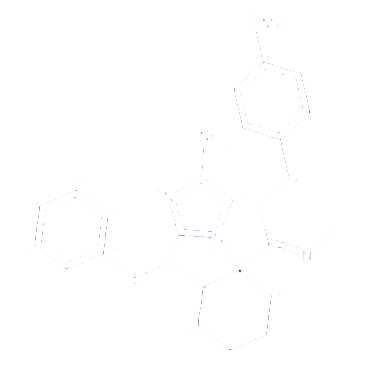 CN=C(SCc1ccc(OC)cc1)C1(n2cnc([N+](=O)[O-])c2)CCCCC1OCc1ccccc1